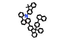 CC1(C)c2ccccc2-c2ccc(N(c3ccc(-c4ccc5c(c4)C(c4ccccc4)(c4ccc(-c6cccc7ccccc67)cc4)C4=C5CCC=C4)cc3)c3ccccc3-c3ccccc3)cc21